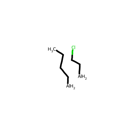 CCC[CH2][AlH2].[AlH2][CH2]CCl